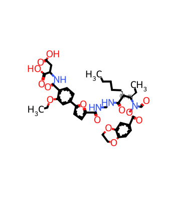 CCCCC[C@@H](C(=O)NCNC(=O)c1ccc(-c2ccc(C(=O)NC(CC(=O)O)C(=O)O)c(OCC)c2)o1)[C@@H](CC)N(C=O)OC(=O)c1ccc2c(c1)OCCO2